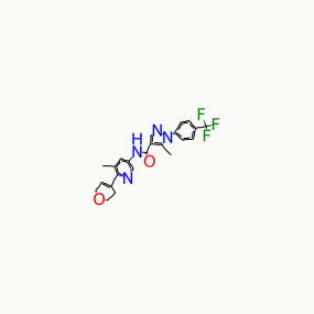 Cc1cc(NC(=O)c2cnn(-c3ccc(C(F)(F)F)cc3)c2C)cnc1C1=CCOCC1